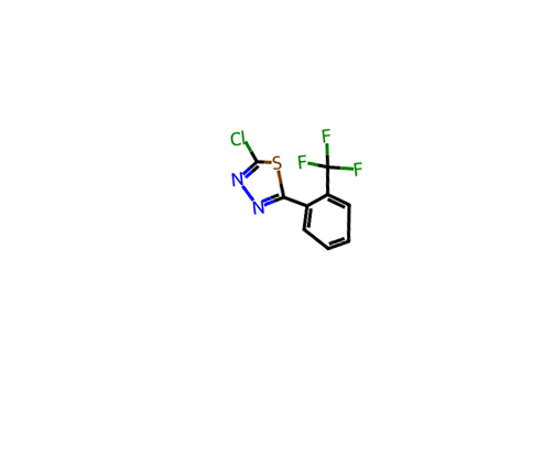 FC(F)(F)c1ccccc1-c1nnc(Cl)s1